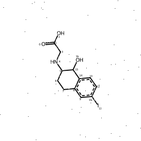 O=C(O)CNC1CCc2cc(I)ccc2C1O